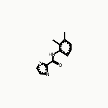 Cc1cccc(NC(=O)c2nccs2)c1C